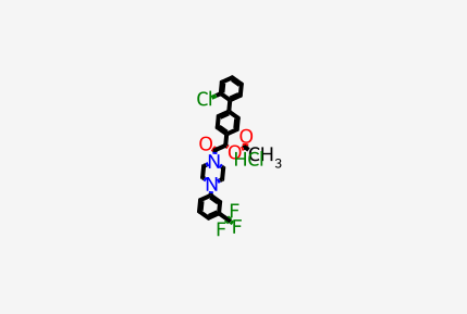 CC(=O)OC(C(=O)N1CCN(c2cccc(C(F)(F)F)c2)CC1)c1ccc(-c2ccccc2Cl)cc1.Cl